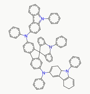 C1=CC2=C(CC1)C1=CC(N(c3ccccc3)c3ccc4c(c3)C3(c5cc(N(c6ccccc6)c6ccc7c(c6)c6ccccc6n7-c6ccccc6)ccc5-4)c4ccccc4N(c4ccccc4)c4ccccc43)=CCC1N2c1ccccc1